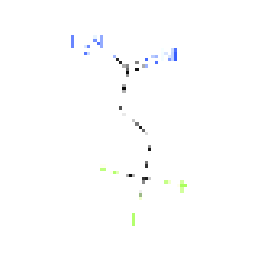 N=C(N)[CH]CC(F)(F)F